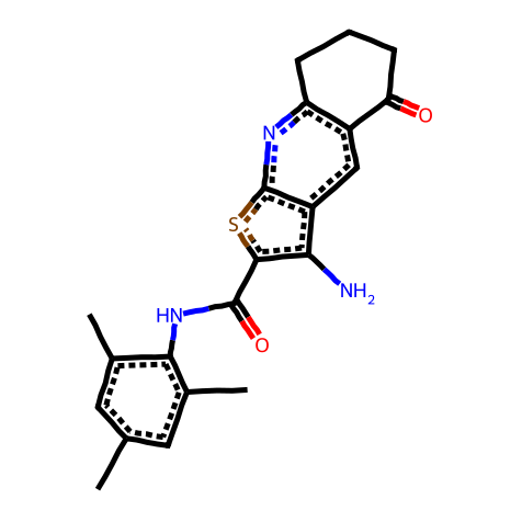 Cc1cc(C)c(NC(=O)c2sc3nc4c(cc3c2N)C(=O)CCC4)c(C)c1